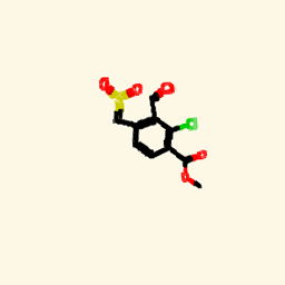 COC(=O)c1ccc(C=S(=O)=O)c(C=O)c1Cl